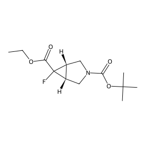 CCOC(=O)C1(F)[C@@H]2CN(C(=O)OC(C)(C)C)C[C@@H]21